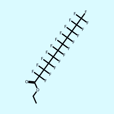 CCOC(=O)C(F)(F)C(F)(F)C(F)(F)C(F)(F)C(F)(F)C(F)(F)C(F)(F)C(F)(F)C(F)(F)C(F)(F)F